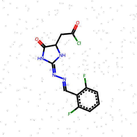 O=C(Cl)CC1N/C(=N\N=C\c2c(F)cccc2F)NC1=O